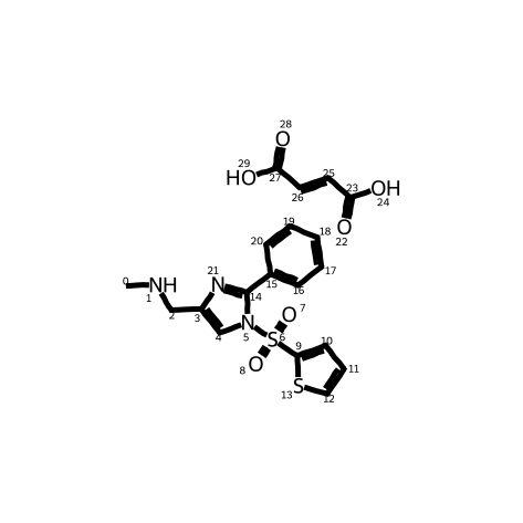 CNCc1cn(S(=O)(=O)c2cccs2)c(-c2ccccc2)n1.O=C(O)C=CC(=O)O